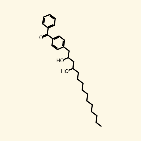 CCCCCCCCCCCC(O)CC(O)Cc1ccc(C(=O)c2ccccc2)cc1